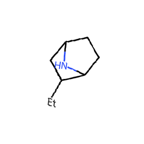 [CH2]CC1CC2CCC1N2